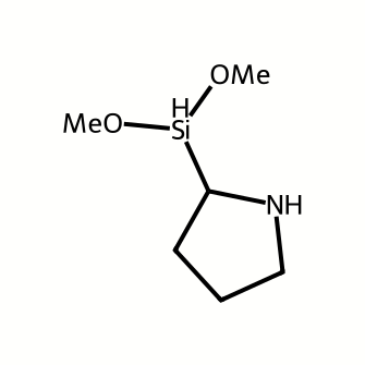 CO[SiH](OC)C1CCCN1